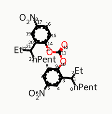 CCCCCC(CC)c1cc([N+](=O)[O-])ccc1OC(=O)Oc1ccc([N+](=O)[O-])cc1C(CC)CCCCC